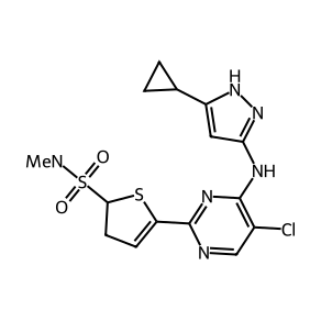 CNS(=O)(=O)C1CC=C(c2ncc(Cl)c(Nc3cc(C4CC4)[nH]n3)n2)S1